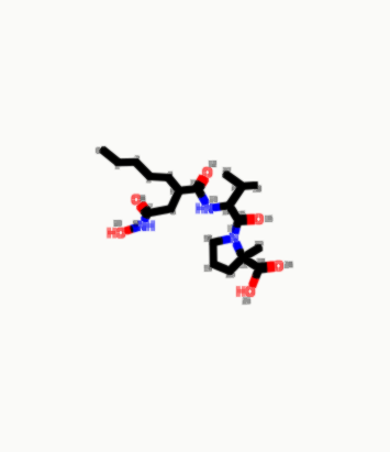 CCCCCC(CC(=O)NO)C(=O)NC(C(=O)N1CCCC1(C)C(=O)O)C(C)C